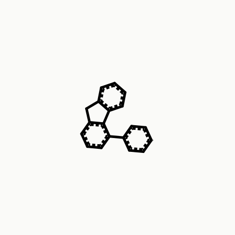 [c]1ccc(-c2cccc3c2-c2ccccc2C3)cc1